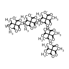 CC(=O)C(C(C)=O)(C(C)=O)C(=O)[O-].CC(=O)C(C(C)=O)(C(C)=O)C(=O)[O-].CC(=O)C(C(C)=O)(C(C)=O)C(=O)[O-].CC(=O)C(C(C)=O)(C(C)=O)C(=O)[O-].CC(=O)C(C(C)=O)(C(C)=O)C(=O)[O-].[V+5]